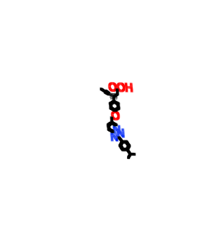 CC#C[C@@H](CC(=O)O)c1ccc(OCc2ccc3nc(-c4ccc(C(C)C)cc4)nn3c2)cc1